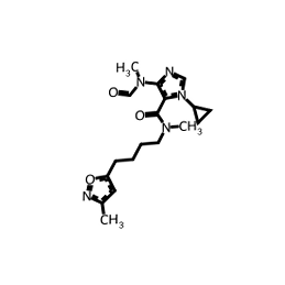 Cc1cc(CCCCN(C)C(=O)c2c(N(C)C=O)ncn2C2CC2)on1